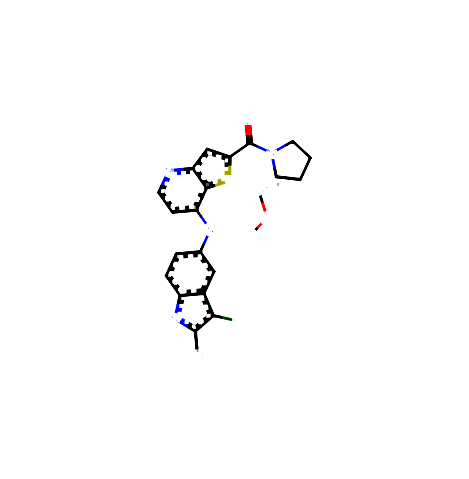 COC[C@H]1CCCN1C(=O)c1cc2nccc(Nc3ccc4[nH]c(C)c(Cl)c4c3)c2s1